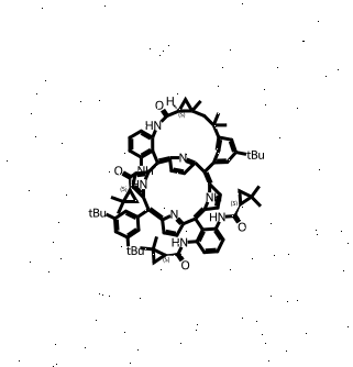 CC(C)(C)c1cc(-c2c3nc(c(-c4c(NC(=O)[C@H]5CC5(C)C)cccc4NC(=O)[C@H]4CC4(C)C)c4ccc([nH]4)c4c5nc(c(c6ccc2[nH]6)-c2c(NC(=O)[C@H]6CC6(C)C)cccc2NC(=O)[C@H]2CC2(C)CC(C)(C)c2cc-4cc(C(C)(C)C)c2)C=C5)C=C3)cc(C(C)(C)C)c1